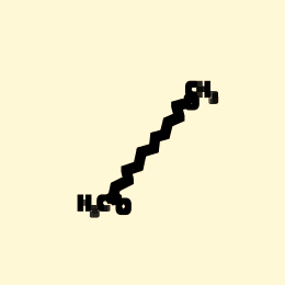 COCCCCCCCCCCCC(C)=O